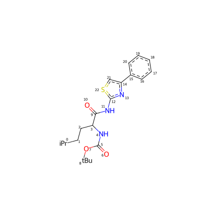 CC(C)CCC(NC(=O)OC(C)(C)C)C(=O)Nc1nc(-c2ccccc2)cs1